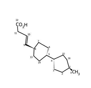 C[C@H]1CC[C@H]([C@H]2CC[C@H](C=CCC(=O)O)CC2)CC1